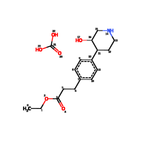 CCOC(=O)CCc1ccc(C2CCNCC2O)cc1.O=C(O)O